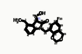 CCc1cccc2c1/C(=N/O)C(=O)N2Cc1cc(F)cc2c1OCOC2